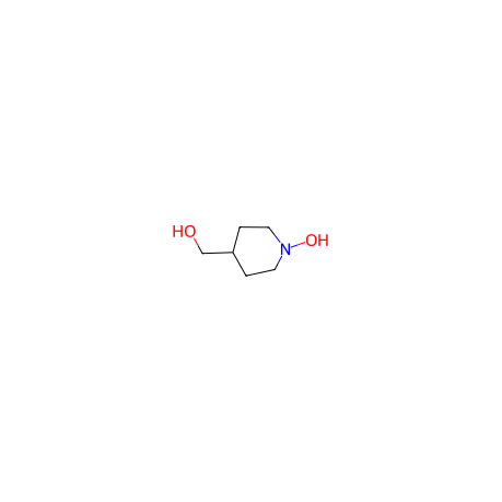 OCC1CCN(O)CC1